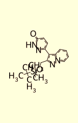 CC(C)(C)[Si](C)(C)OCc1nn2ccccc2c1-c1ccc(=O)[nH]n1